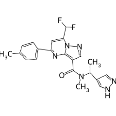 Cc1ccc(-c2cc(C(F)F)n3ncc(C(=O)N(C)C(C)c4cn[nH]c4)c3n2)cc1